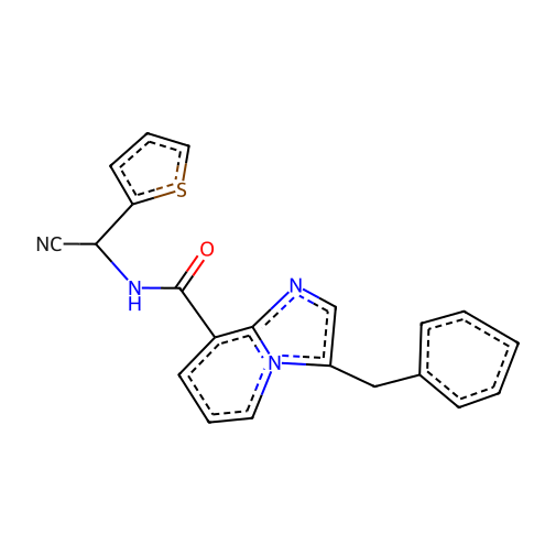 N#CC(NC(=O)c1cccn2c(Cc3ccccc3)cnc12)c1cccs1